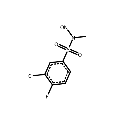 CN(N=O)S(=O)(=O)c1ccc(F)c(Cl)c1